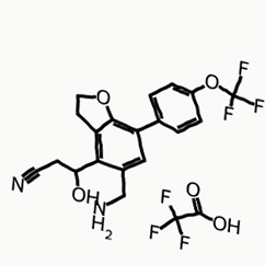 N#CCC(O)c1c(CN)cc(-c2ccc(OC(F)(F)F)cc2)c2c1CCO2.O=C(O)C(F)(F)F